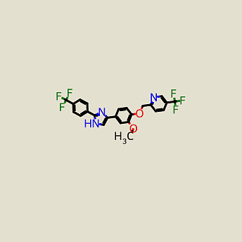 COc1cc(-c2c[nH]c(-c3ccc(C(F)(F)F)cc3)n2)ccc1OCc1ccc(C(F)(F)F)cn1